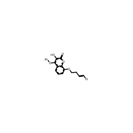 CCC=CCCOc1cccc2c(OC(C)C)c(O)c(=O)oc12